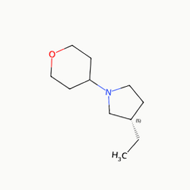 CC[C@H]1CCN(C2CCOCC2)C1